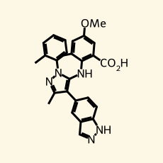 COc1cc(C)c(Nc2c(-c3ccc4[nH]ncc4c3)c(C)nn2-c2ccccc2C)c(C(=O)O)c1